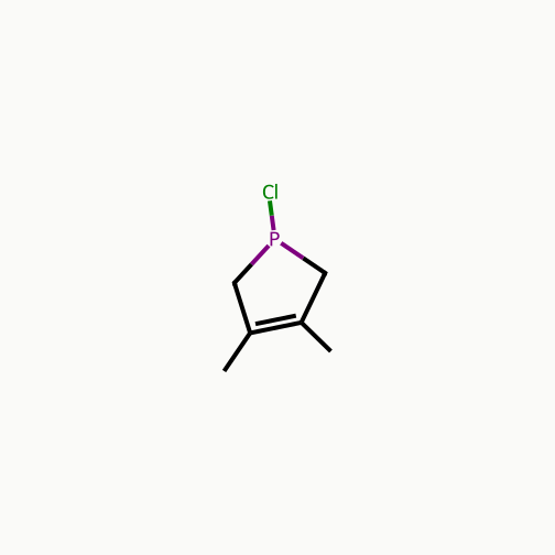 CC1=C(C)CP(Cl)C1